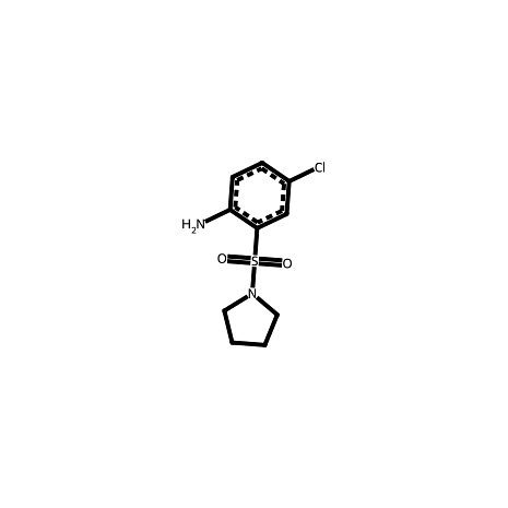 Nc1ccc(Cl)cc1S(=O)(=O)N1CCCC1